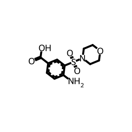 Nc1ccc(C(=O)O)cc1S(=O)(=O)N1CCOCC1